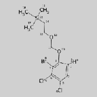 [2H]c1cc(Cl)c(Cl)c(Br)c1OCOCC[Si](C)(C)C